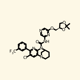 CC1(C)OC[C@H](COc2cncc(NC(=O)N3c4nc(-c5cccc(C(F)(F)F)c5)c(Cl)cc4N4CCCC3C4)n2)O1